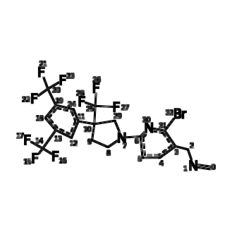 C=NCc1ccc(N2CCC(c3cc(C(F)(F)F)cc(C(F)(F)F)c3)(C(F)(F)F)C2)nc1Br